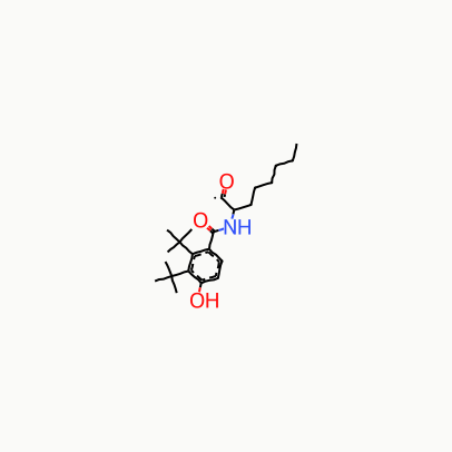 CCCCCCC([C]=O)NC(=O)c1ccc(O)c(C(C)(C)C)c1C(C)(C)C